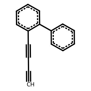 C#CC#Cc1ccccc1-c1ccccc1